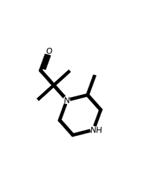 CC1CNCCN1C(C)(C)C=O